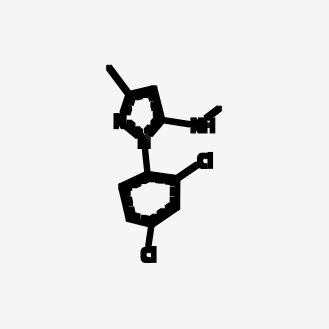 CNc1cc(C)nn1-c1ccc(Cl)cc1Cl